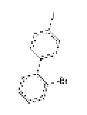 Brc1ccccc1-c1ccc(I)cc1